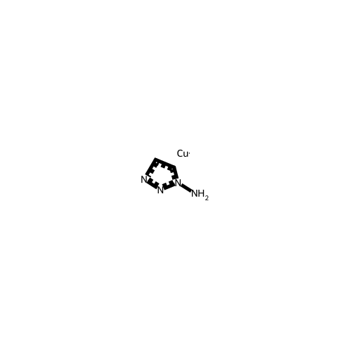 Nn1ccnn1.[Cu]